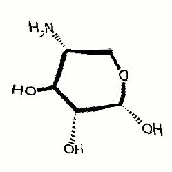 N[C@@H]1CO[C@H](O)[C@H](O)C1O